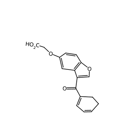 O=C(O)COc1ccc2occ(C(=O)C3=CC=CCC3)c2c1